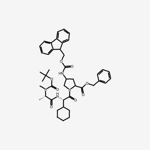 C[C@@H](C(=O)N[C@H](C(=O)N1CC(NC(=O)OCC2c3ccccc3-c3ccccc32)CC1C(=O)OCc1ccccc1)C1CCCCC1)N(C)C(=O)OC(C)(C)C